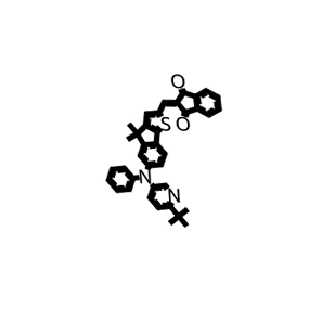 CC(C)(C)c1ccc(N(c2ccccc2)c2ccc3c(c2)C(C)(C)c2cc(C=C4C(=O)c5ccccc5C4=O)sc2-3)cn1